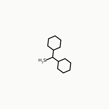 [SiH2]C(C1CCCCC1)C1CCCCC1